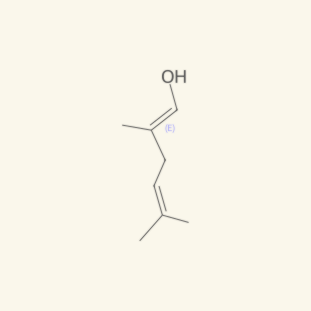 CC(C)=CC/C(C)=C/O